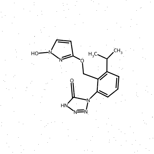 CC(C)c1cccc(-n2nn[nH]c2=O)c1COc1ccn(O)n1